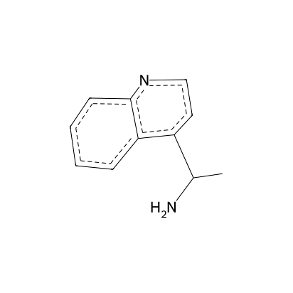 CC(N)c1ccnc2ccccc12